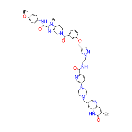 CCc1cc2ncc(CN3CCN(c4ccc(C(=O)NCCn5cc(COc6cccc(C(=O)N7CCc8c(nc(C(=O)Nc9ccc(OC(C)C)cc9)n8C(C)C)C7)c6)cn5)nc4)CC3)cc2[nH]c1=O